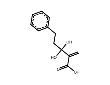 C=C(C(=O)O)C(O)(O)CCc1ccccc1